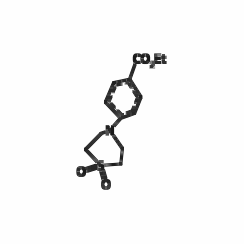 CCOC(=O)c1ccc(N2CCS(=O)(=O)CC2)cc1